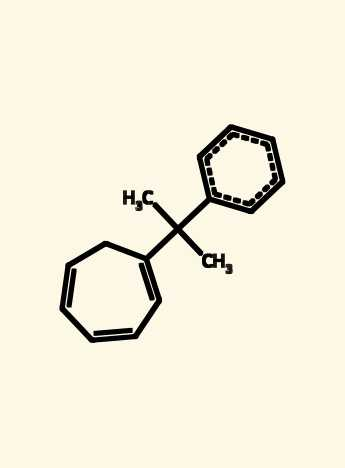 CC(C)(C1=CC=CC=CC1)c1ccccc1